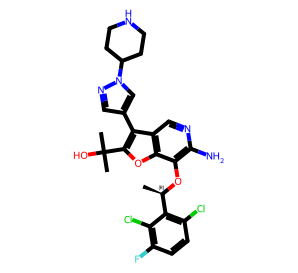 C[C@@H](Oc1c(N)ncc2c(-c3cnn(C4CCNCC4)c3)c(C(C)(C)O)oc12)c1c(Cl)ccc(F)c1Cl